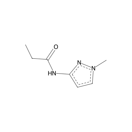 CCC(=O)Nc1ccn(C)n1